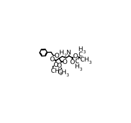 CCOC(=O)C(CCC(N)C(=O)OC(C)(C)C)(OCCc1ccccc1)C(=O)OCC